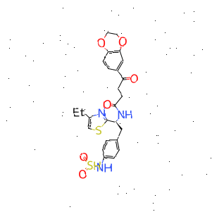 CCc1csc([C@H](Cc2ccc(N[SH](=O)=O)cc2)NC(=O)CCC(=O)c2ccc3c(c2)OCCO3)n1